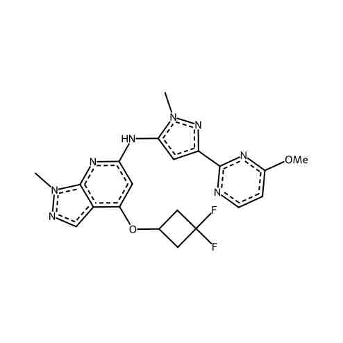 COc1ccnc(-c2cc(Nc3cc(OC4CC(F)(F)C4)c4cnn(C)c4n3)n(C)n2)n1